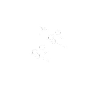 COc1c(N2CCNC(C)C2)c(F)cc2c(=O)c(C(=O)O)cn(-c3ccc(F)cc3)c12.COc1c(N2CCNC(C)C2)c(F)cc2c(=O)c(C(=O)O)cn(-c3ccc(F)cc3)c12.Cl.Cl.O